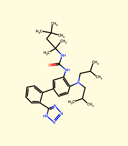 CC(C)CN(CC(C)C)c1ccc(-c2ccccc2-c2nnn[nH]2)cc1NC(=O)NC(C)(C)CC(C)(C)C